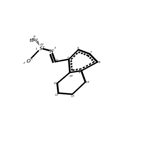 CC(C)(C)[S@@+]([O-])N=Cc1cccc2c1CCCC2